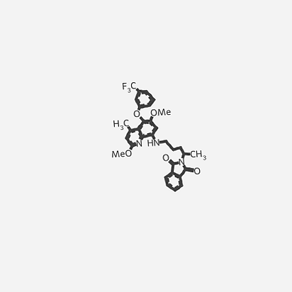 COc1cc(C)c2c(Oc3cccc(C(F)(F)F)c3)c(OC)cc(NCCCC(C)N3C(=O)c4ccccc4C3=O)c2n1